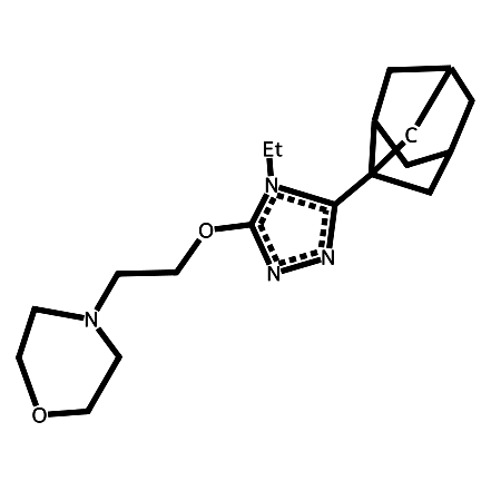 CCn1c(OCCN2CCOCC2)nnc1C12CC3CC(CC1C3)C2